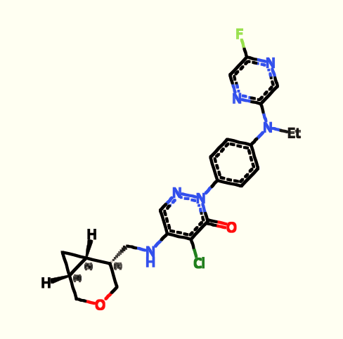 CCN(c1ccc(-n2ncc(NC[C@@H]3COC[C@@H]4C[C@H]34)c(Cl)c2=O)cc1)c1cnc(F)cn1